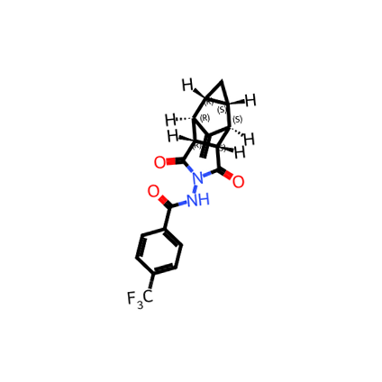 C=C1[C@@H]2[C@@H]3C[C@@H]3[C@H]1[C@@H]1C(=O)N(NC(=O)c3ccc(C(F)(F)F)cc3)C(=O)[C@@H]12